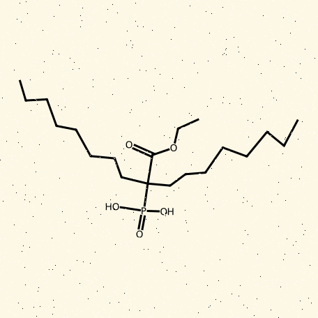 CCCCCCCCC(CCCCCCCC)(C(=O)OCC)P(=O)(O)O